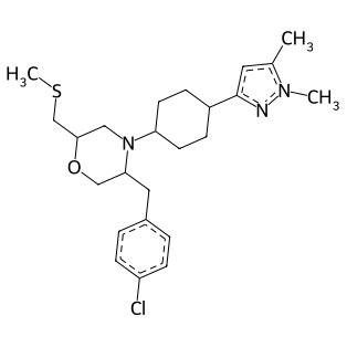 CSCC1CN(C2CCC(c3cc(C)n(C)n3)CC2)C(Cc2ccc(Cl)cc2)CO1